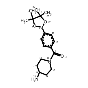 CC1(C)OB(c2ccc(C(=O)N3CCC(N)CC3)cc2)OC1(C)C